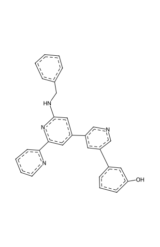 Oc1cccc(-c2cncc(-c3cc(NCc4ccccc4)nc(-c4ccccn4)c3)c2)c1